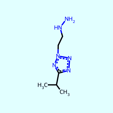 CC(C)c1nnn(CCNN)n1